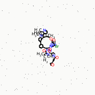 CCn1c(-c2cccnc2C(C)C)c2c3cc(ccc31)-c1cccc(c1)C[C@H](NC(=O)[C@H](C(C)C)N(C)C(=O)[C@H]1CCN(C(=O)C#CC3CCO3)C1)C(=O)N1CC(Br)C[C@H](N1)C(=O)OCC(C)(C)C2